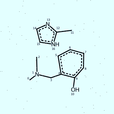 CN(C)Cc1ccccc1O.Cc1ncc[nH]1